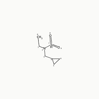 CCN(CC1CC1)[SH](=O)=O